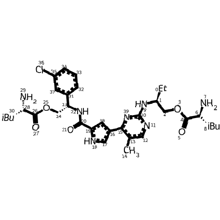 CC[C@@H](COC(=O)[C@@H](N)[C@@H](C)CC)Nc1ncc(C)c(-c2c[nH]c(C(=O)N[C@H](COC(=O)[C@@H](N)[C@@H](C)CC)c3cccc(Cl)c3)c2)n1